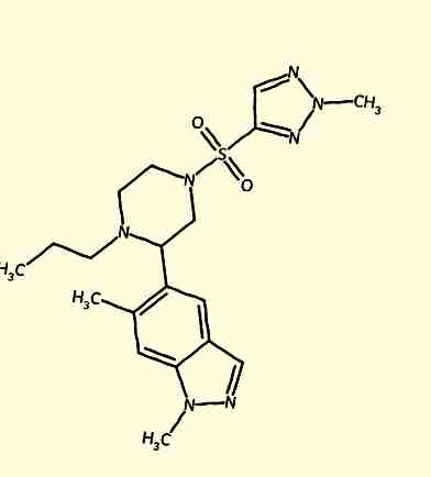 CCCN1CCN(S(=O)(=O)c2cnn(C)n2)CC1c1cc2cnn(C)c2cc1C